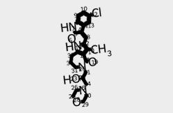 Cc1c(C=C2C(=O)Nc3ccc(Cl)cc32)[nH]c2c1C(=O)N(C[C@@H](O)CN1CCOCC1)CCC2